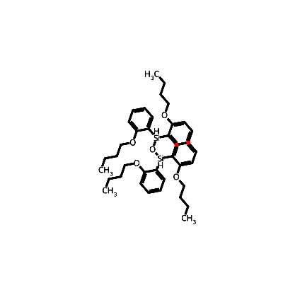 CCCCOc1ccccc1[SiH](O[SiH](c1ccccc1OCCCC)c1ccccc1OCCCC)c1ccccc1OCCCC